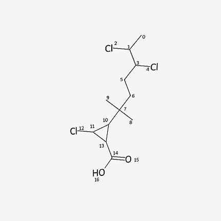 CC(Cl)C(Cl)CCC(C)(C)C1C(Cl)C1C(=O)O